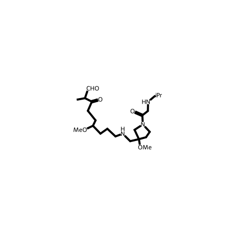 COC(CCCNCC1(OC)CCN(C(=O)CNC(C)C)C1)CCC(=O)C(C)C=O